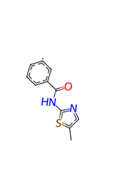 Cc1cnc(NC(=O)c2c[c]ccc2)s1